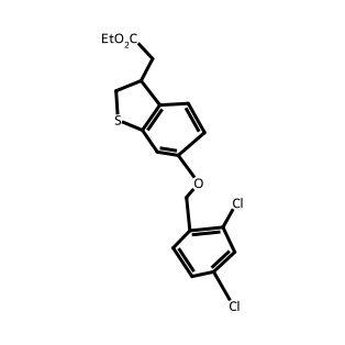 CCOC(=O)CC1CSc2cc(OCc3ccc(Cl)cc3Cl)ccc21